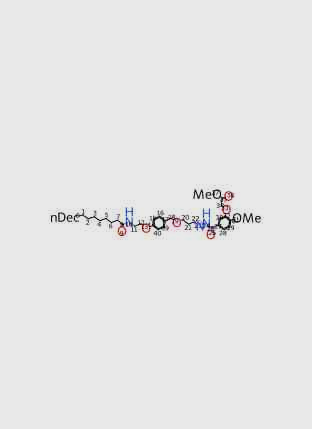 CCCCCCCCCCCCCCCCCC(=O)NCCOc1ccc(COCC/C=N/NC(=O)c2ccc(OC)c(OCC(=O)OC)c2)cc1